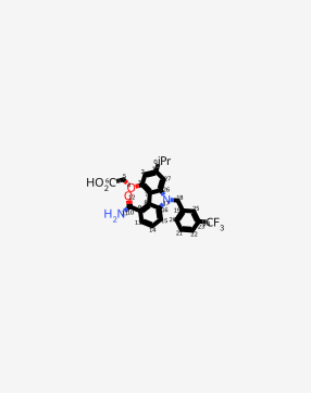 CC(C)c1cc(OCC(=O)O)c2c3c(C(N)=O)cccc3n(Cc3cccc(C(F)(F)F)c3)c2c1